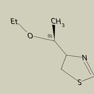 CCO[C@@H](C)C1CSC=N1